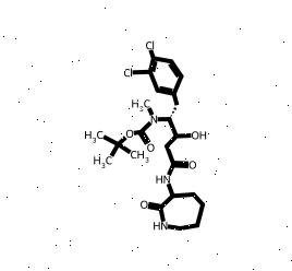 CN(C(=O)OC(C)(C)C)[C@H](Cc1ccc(Cl)c(Cl)c1)C(O)CC(=O)NC1CCCCNC1=O